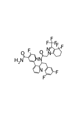 NC(=O)c1cc(-c2cccnc2C(Cc2cc(F)cc(F)c2)NC(=O)Cn2nc(C(F)(F)F)c3c2CCCC3(F)F)ccc1F